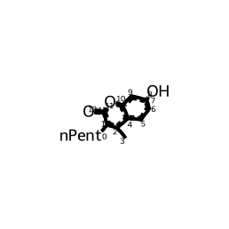 CCCCCc1c(C)c2ccc(O)cc2oc1=O